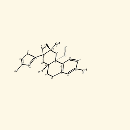 CC[C@@]12C[C@@](C)(O)[C@](O)(c3nc(C)cs3)C[C@H]1CCc1cc(O)ccc12